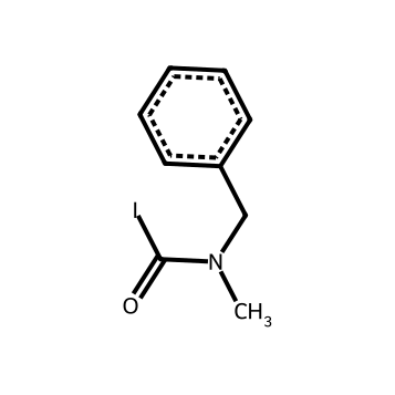 CN(Cc1ccccc1)C(=O)I